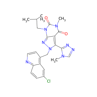 CC(C)Cn1c(=O)n(C)c(=O)c2c(-c3nncn3C)n(Cc3ccnc4ccc(Cl)cc34)nc21